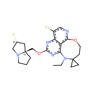 CCN1c2nc(OC[C@@]34CCCN3C[C@H](F)C4)nc3c(F)cnc(c23)OCCC12CC2